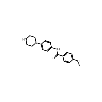 COc1ccc(C(=O)Nc2ccc(N3CCNCC3)cc2)cc1